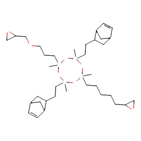 C[Si]1(CCCCCC2CO2)O[Si](C)(CCC2CC3C=CC2C3)O[Si](C)(CCCOCC2CO2)O[Si](C)(CCC2CC3C=CC2C3)O1